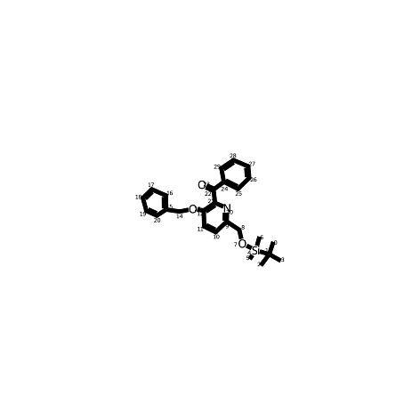 CC(C)(C)[Si](C)(C)OCc1ccc(OCc2ccccc2)c(C(=O)c2ccccc2)n1